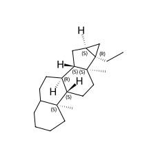 CC[C@@]12C[C@@H]1C[C@H]1[C@@H]3CCC4CCCC[C@]4(C)[C@H]3CC[C@@]12C